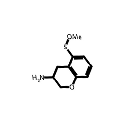 COSc1cccc2c1CC(N)CO2